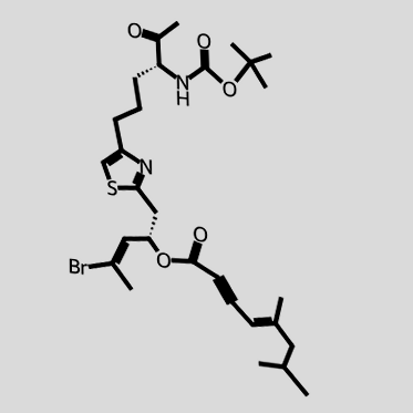 CC(=O)[C@@H](CCCc1csc(C[C@@H](/C=C(\C)Br)OC(=O)C#C/C=C(\C)CC(C)C)n1)NC(=O)OC(C)(C)C